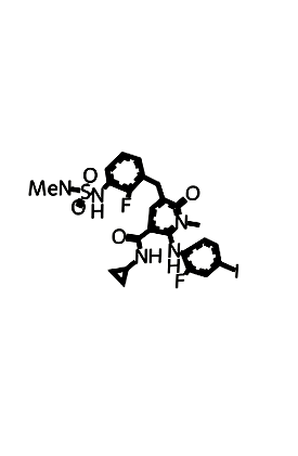 CNS(=O)(=O)Nc1cccc(Cc2cc(C(=O)NC3CC3)c(Nc3ccc(I)cc3F)n(C)c2=O)c1F